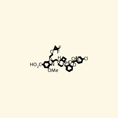 COc1cc(C(=O)O)cc2c1nc(CN1CCN(c3cccc4c3O[C@@](C)(c3ccc(Cl)cn3)O4)[C@@H]3CC[C@@H]31)n2CCOC1CC1(F)F